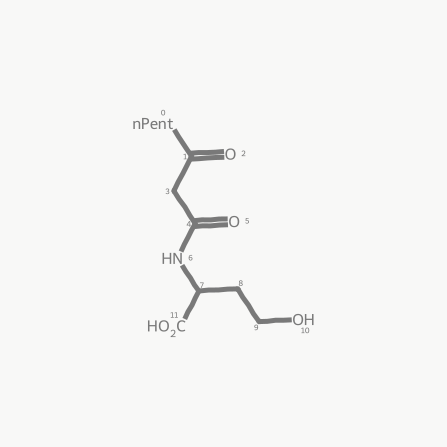 CCCCCC(=O)CC(=O)NC(CCO)C(=O)O